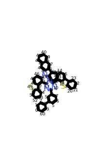 c1ccc(-c2cccc(-c3nc(-c4cccc5c4sc4ccccc45)nc(-c4c(-n5c6ccccc6c6cc7ccccc7cc65)ccc5sc6ccccc6c45)n3)c2)cc1